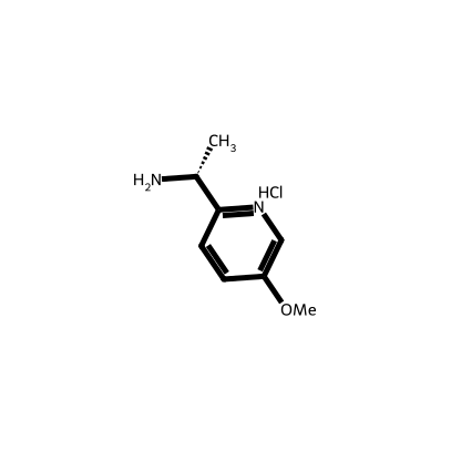 COc1ccc([C@@H](C)N)nc1.Cl